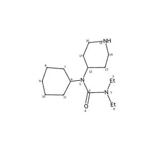 CCN(CC)C(=O)N(C1CCCCC1)C1CCNCC1